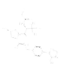 CCC(=O)N[C@H](C(=O)N1C[C@H](O)C[C@H]1C(=O)NCc1ccc(-c2ocnc2C)cc1)C(C)(C)C